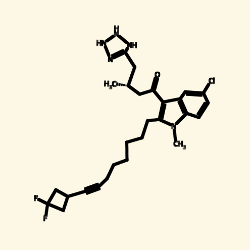 C[C@@H](CC(=O)c1c(CCCCCCC#CC2CC(F)(F)C2)n(C)c2ccc(Cl)cc12)CC1=NNNN1